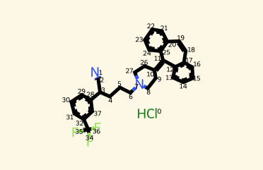 Cl.N#CC(CCCN1CCC(=C2c3ccccc3C=Cc3ccccc32)CC1)c1cccc(C(F)(F)F)c1